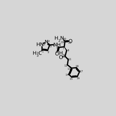 Cc1cc(NC(=O)[C@H](C[C@@H](O)[CH]Cc2ccccc2)C(N)=O)n[nH]1